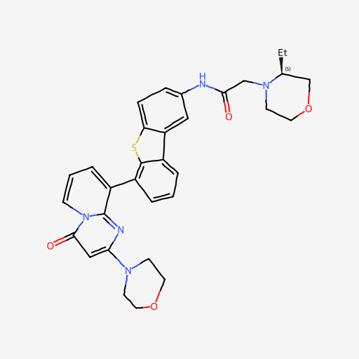 CC[C@H]1COCCN1CC(=O)Nc1ccc2sc3c(-c4cccn5c(=O)cc(N6CCOCC6)nc45)cccc3c2c1